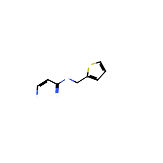 N=C(/C=C\N)NCc1cccs1